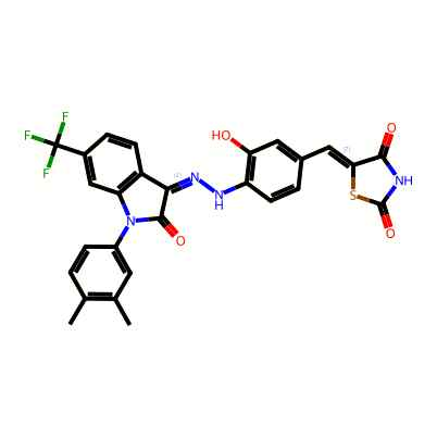 Cc1ccc(N2C(=O)/C(=N\Nc3ccc(/C=C4\SC(=O)NC4=O)cc3O)c3ccc(C(F)(F)F)cc32)cc1C